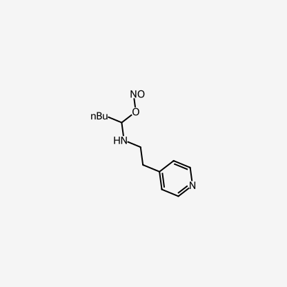 CCCCC(NCCc1ccncc1)ON=O